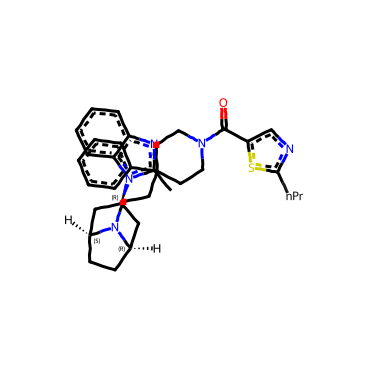 CCCc1ncc(C(=O)N2CCC(CCN3[C@@H]4CC[C@H]3C[C@@H](n3c(C)nc5ccccc53)C4)(c3ccccc3)CC2)s1